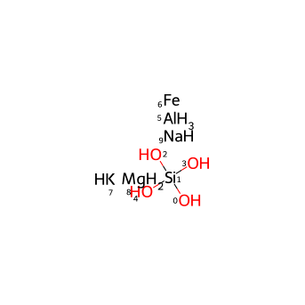 O[Si](O)(O)O.[AlH3].[Fe].[KH].[MgH2].[NaH]